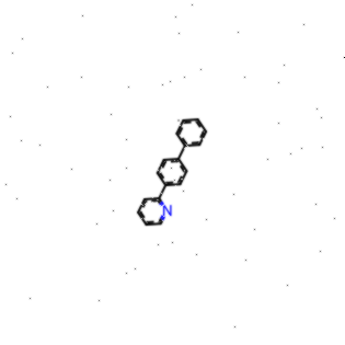 [c]1cccc(-c2ccc(-c3ccccn3)cc2)c1